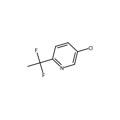 CC(F)(F)c1ccc(Cl)cn1